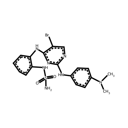 CN(C)c1ccc(Nc2ncc(Br)c(Nc3ccccc3NS(N)(=O)=O)n2)cc1